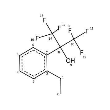 CCc1[c]cccc1C(O)(C(F)(F)F)C(F)(F)F